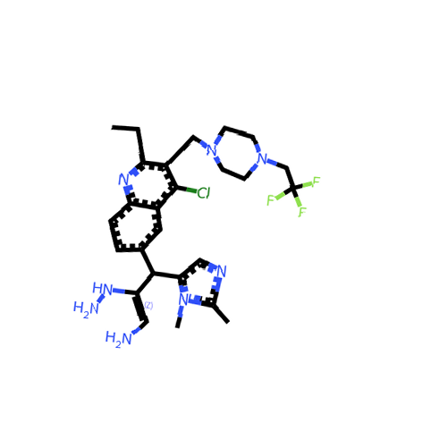 CCc1nc2ccc(C(/C(=C/N)NN)c3cnc(C)n3C)cc2c(Cl)c1CN1CCN(CC(F)(F)F)CC1